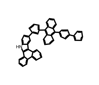 c1ccc(-c2ccc(-c3c4ccccc4c(-c4cccc(-c5ccc6[nH]c7c8ccccc8c8ccccc8c7c6c5)c4)c4ccccc34)cc2)cc1